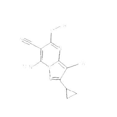 CSc1nc2c(C)c(C3CC3)nn2c(N)c1C#N